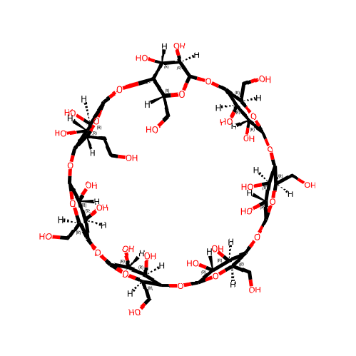 OCC[C@H]1OC2OC3[C@@H](CO)OC(OC4[C@@H](CO)OC(OC5[C@@H](CO)OC(OC6[C@@H](CO)OC(OC7[C@@H](CO)OC(OC8[C@@H](CO)OC(OC1[C@H](O)[C@H]2O)[C@H](O)[C@H]8O)[C@H](O)[C@H]7O)[C@H](O)[C@H]6O)[C@H](O)[C@H]5O)[C@H](O)[C@H]4O)[C@H](O)[C@H]3O